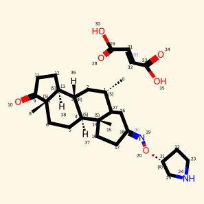 C[C@H]1C[C@@H]2[C@H](CC[C@]3(C)C(=O)CC[C@@H]23)[C@@]2(C)CC/C(=N\O[C@@H]3CCNC3)CC12.O=C(O)/C=C/C(=O)O